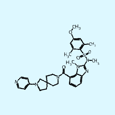 COc1cc(C)c(S(=O)(=O)N(C)c2nc3cccc(C(=O)N4CCC5(CC4)CCN(c4ccncc4)C5)c3n2C)c(C)c1